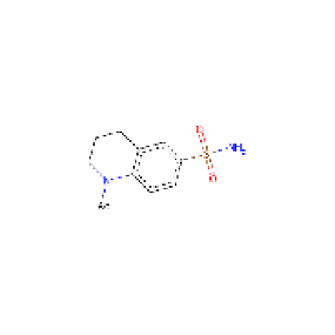 CC(=O)N1CCCc2cc(S(N)(=O)=O)ccc21